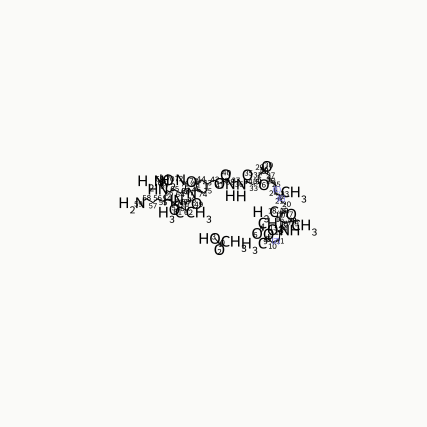 CC(=O)O.CC(=O)O[C@@H](C)/C=C\C(=O)N[C@@H]1C[C@H](C)[C@H](C/C=C(C)/C=C/[C@@H]2C[C@]3(CO3)C[C@@H](CC(=O)NCNC(=O)OCc3ccc(N(C(=O)[C@@H](NC(=O)CCCCCN)C(C)C)[C@@H](CCCNC(N)=O)C(N)=O)cc3)O2)O[C@@H]1C